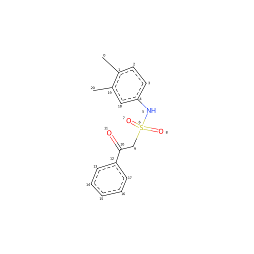 Cc1ccc(NS(=O)(=O)CC(=O)c2ccccc2)cc1C